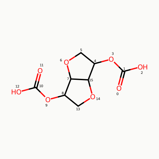 O=C(O)OC1COC2C(OC(=O)O)COC12